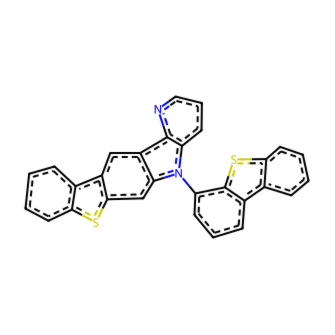 c1ccc2c(c1)sc1cc3c(cc12)c1ncccc1n3-c1cccc2c1sc1ccccc12